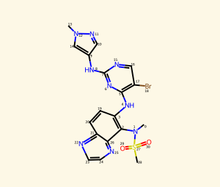 CN(c1c(Nc2nc(Nc3cnn(C)c3)ncc2Br)ccc2nccnc12)S(C)(=O)=O